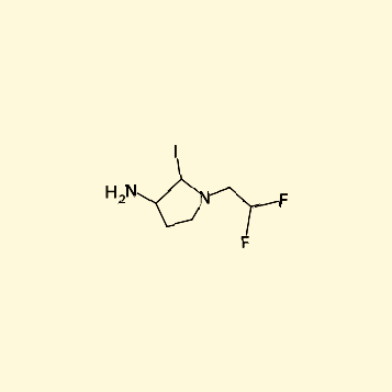 NC1CCN(CC(F)F)C1I